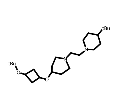 CC(C)(C)OC1CC(OC2CCN(CCN3CCC(C(C)(C)C)CC3)CC2)C1